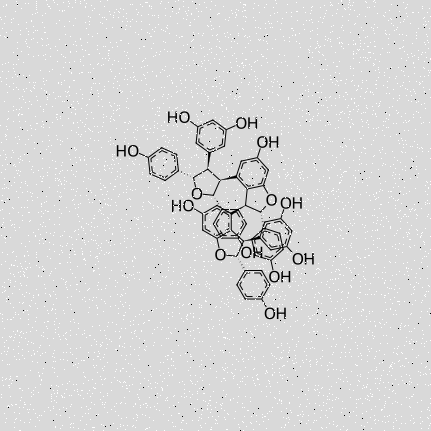 Oc1ccc([C@H]2Oc3cc(O)cc([C@@H]4[C@H](c5cc(O)cc(O)c5)[C@@H](c5ccc(O)cc5)O[C@H]4c4ccc(O)cc4)c3[C@@H]2c2cc(O)cc3c2[C@@H](c2cc(O)cc(O)c2)[C@H](c2ccc(O)cc2)O3)cc1